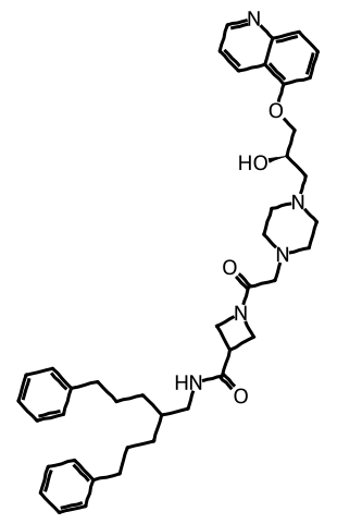 O=C(NCC(CCCc1ccccc1)CCCc1ccccc1)C1CN(C(=O)CN2CCN(C[C@@H](O)COc3cccc4ncccc34)CC2)C1